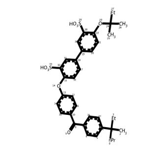 CCCC(C)(CC)c1ccc(C(=O)c2ccc(Oc3ccc(-c4ccc(OC(C)(C)CC)c(S(=O)(=O)O)c4)cc3S(=O)(=O)O)cc2)cc1